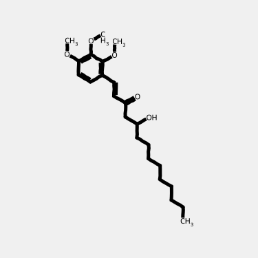 CCCCCCCCCC(O)CC(=O)C=Cc1ccc(OC)c(OC)c1OC